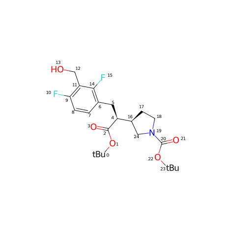 CC(C)(C)OC(=O)[C@@H](Cc1ccc(F)c(CO)c1F)[C@H]1CCN(C(=O)OC(C)(C)C)C1